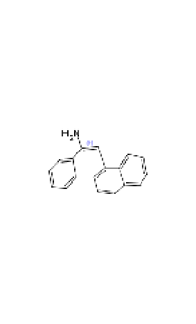 N/C(=C/c1cccc2ccccc12)c1ccccc1